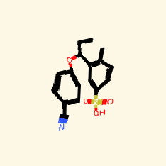 CCC(Oc1ccc(C#N)cc1)c1cc(S(=O)(=O)O)ccc1C